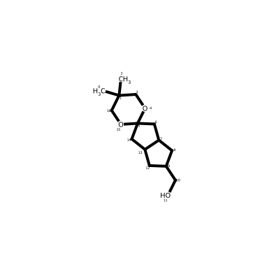 CC1(C)COC2(CC3CC(CO)CC3C2)OC1